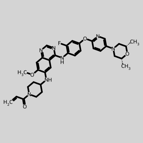 C=CC(=O)N1CCC(Nc2cc3c(Nc4ccc(Oc5ccc(N6C[C@@H](C)O[C@@H](C)C6)cn5)cc4F)ncnc3cc2OC)CC1